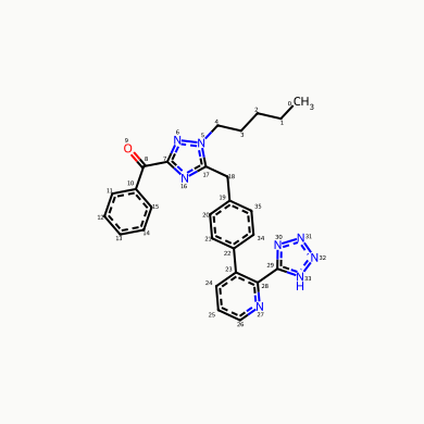 CCCCCn1nc(C(=O)c2ccccc2)nc1Cc1ccc(-c2cccnc2-c2nnn[nH]2)cc1